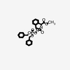 COC(=O)C1c2ccccc2C2CN1C(=O)N2OP(=O)(OCc1ccccc1)OCc1ccccc1